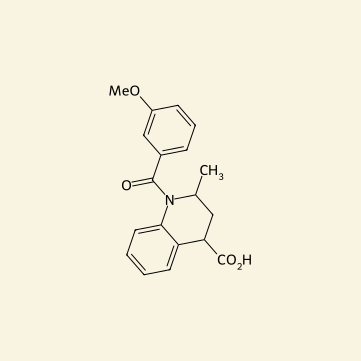 COc1cccc(C(=O)N2c3ccccc3C(C(=O)O)CC2C)c1